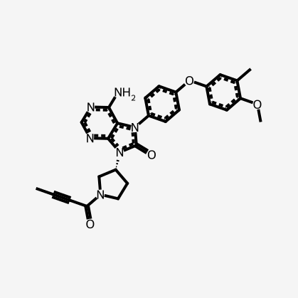 CC#CC(=O)N1CC[C@@H](n2c(=O)n(-c3ccc(Oc4ccc(OC)c(C)c4)cc3)c3c(N)ncnc32)C1